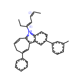 C/C=C\C=C(/CC)n1c2c(c3cc(-c4cccc(C)c4)ccc31)C=C(c1ccccc1)CC=C2